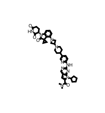 CN(C)C(=O)c1cc2cnc(Nc3ccc(C4CCN(C5CN(c6cccc7c6C6(CC6)C(=O)N7[C@@H]6CCC(=O)NC6=O)C5)CC4)cn3)nc2n1C1CCCC1